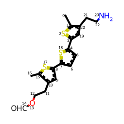 Cc1sc(-c2ccc(-c3cc(CCOC=O)c(C)s3)s2)cc1CCN